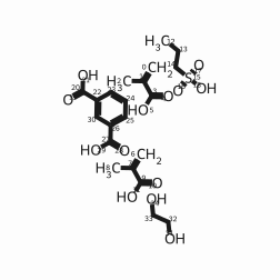 C=C(C)C(=O)O.C=C(C)C(=O)O.CCCS(=O)(=O)O.O=C(O)c1cccc(C(=O)O)c1.OCCO